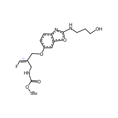 CC(C)(C)OC(=O)NC/C(=C\F)COc1ccc2nc(NCCCO)oc2c1